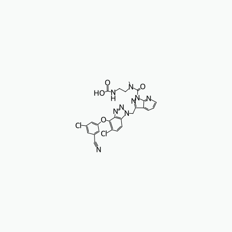 CN(CCNC(=O)O)C(=O)n1nc(Cn2nnc3c(Oc4cc(Cl)cc(C#N)c4)c(Cl)ccc32)c2cccnc21